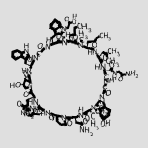 CCCC[C@H]1C(=O)N(C)[C@@H](CCCC)C(=O)N[C@@H](CC(C)C)C(=O)N[C@H](C(=O)NCC(N)=O)CNCC(=O)N[C@@H](Cc2ccc(O)cc2)C(=O)N(C)[C@@H](C)C(=O)N[C@@H](CC(N)=O)C(=O)N2CCC[C@H]2C(=O)N[C@@H](Cc2cnc[nH]2)C(=O)N[C@@H](CCC(N)=O)C(=O)N2C[C@H](O)C[C@H]2C(=O)N[C@@H](Cc2c[nH]c3ccccc23)C(=O)NCC(=O)N[C@@H](Cc2cn(CC(=O)O)c3ccccc23)C(=O)N1C